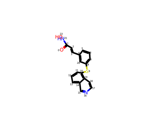 O=C(/C=C/c1cccc(Sc2cccc3cnccc23)c1)NO